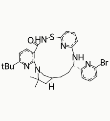 CC(C)(C)c1ccc2c(n1)N1C[C@@H](CC[C@@H](c3cccc(Br)n3)Nc3cccc(n3)SNC2=O)CC1(C)C